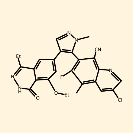 CCOc1cc(-c2cnn(C)c2-c2c(F)c(C)c3cc(Cl)cnc3c2C#N)cc2c(CC)n[nH]c(=O)c12